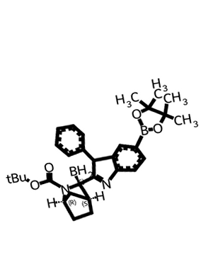 B[C@@]1(C2=Nc3ccc(B4OC(C)(C)C(C)(C)O4)cc3C2c2ccccc2)[C@H]2CC[C@H](C2)N1C(=O)OC(C)(C)C